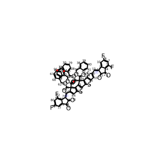 O=C1C(=O)c2c(F)cc(F)cc2/C1=C/c1cc2sc3c(c2s1)C(C(=O)OCc1ccccc1)(C(=O)OCc1ccccc1)c1c-3sc2c1C(C(=O)OCc1ccccc1)(C(=O)OCc1ccccc1)C(/C=C1\C(=O)C(=O)c3cc(F)cc(F)c31)=C2